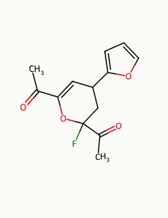 CC(=O)C1=CC(c2ccco2)CC(F)(C(C)=O)O1